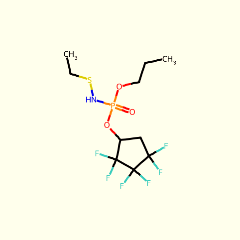 CCCOP(=O)(NSCC)OC1CC(F)(F)C(F)(F)C1(F)F